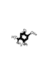 COc1cc(C(C)C)c(C(C)N)cc1Cl